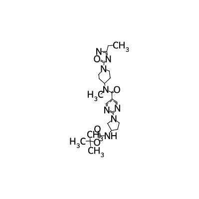 CCc1noc(N2CCC(N(C)C(=O)c3cnc(N4CC[C@@H](NC(=O)OC(C)(C)C)C4)nc3)CC2)n1